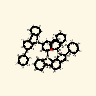 c1ccc(-c2cc(-n3c4ccccc4c4ccc(-c5ccccc5)cc43)cc(-n3c4ccccc4c4ccc5cc(-c6ccccc6)n(-c6ccccc6)c5c43)c2)cc1